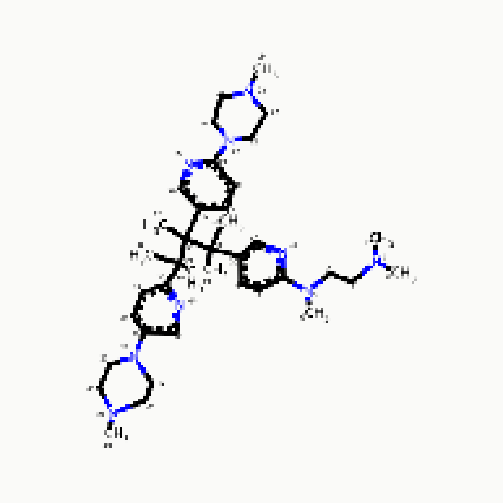 CN(C)CCN(C)c1ccc(C(C)(C)C(C)(c2ccc(N3CCN(C)CC3)nc2)C(C)(C)c2ccc(N3CCN(C)CC3)cn2)cn1